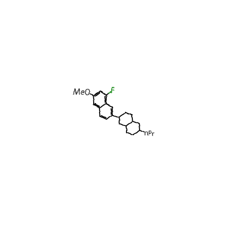 CCCC1CCC2CC(c3ccc4cc(OC)cc(F)c4c3)CCC2C1